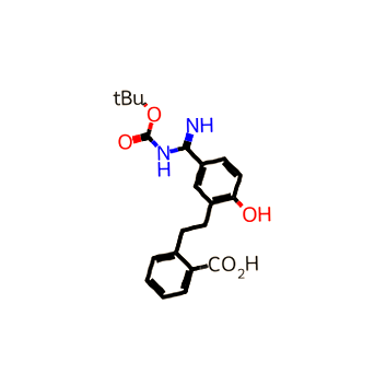 CC(C)(C)OC(=O)NC(=N)c1ccc(O)c(CCc2ccccc2C(=O)O)c1